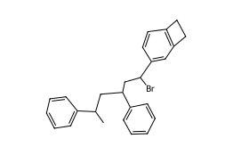 CC(CC(CC(Br)c1ccc2c(c1)CC2)c1ccccc1)c1ccccc1